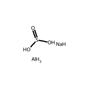 O=S(O)O.[AlH3].[NaH]